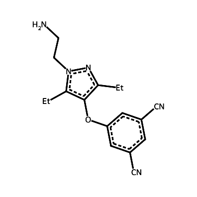 CCc1nn(CCN)c(CC)c1Oc1cc(C#N)cc(C#N)c1